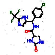 O=C1NCC(C(=O)NC(c2ccc(Cl)cc2)c2cnc(C(F)(F)F)[nH]2)N1